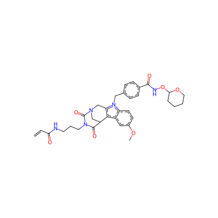 C=CC(=O)NCCCN1C(=O)C2CN(Cc3c2c2cc(OC)ccc2n3Cc2ccc(C(=O)NOC3CCCCO3)cc2)C1=O